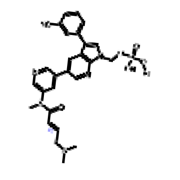 CCOP(=O)(O)OCn1cc(-c2cccc(C#N)c2)c2cc(-c3cncc(N(C)C(=O)/C=C/CN(C)C)c3)cnc21